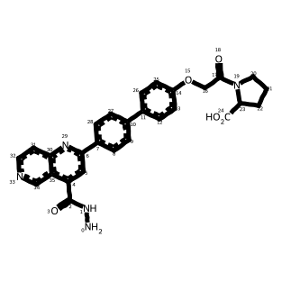 NNC(=O)c1cc(-c2ccc(-c3ccc(OCC(=O)N4CCCC4C(=O)O)cc3)cc2)nc2ccncc12